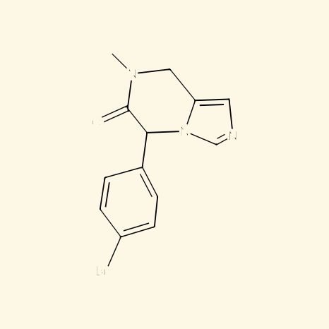 CN1Cc2cncn2C(c2ccc(Br)cc2)C1=O